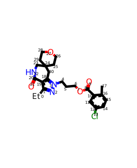 CCc1nn(CCCOC(=O)c2cc(Cl)ccc2C)c2c1C(=O)NCC1(CCOCC1)C2